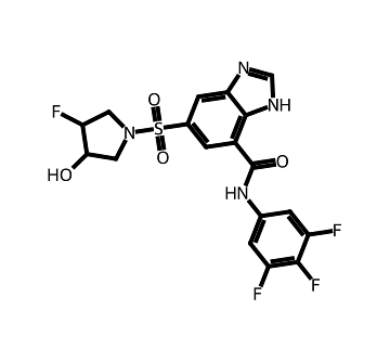 O=C(Nc1cc(F)c(F)c(F)c1)c1cc(S(=O)(=O)N2CC(O)C(F)C2)cc2nc[nH]c12